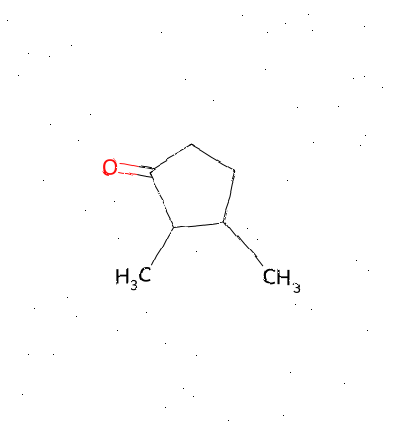 CC1CCC(=O)C1C